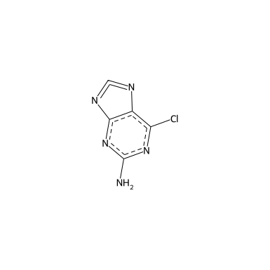 Nc1nc(Cl)c2c(n1)N=C=N2